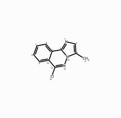 Cc1cnc2c3ccccc3c(Cl)nn12